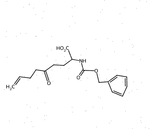 C=CCCC(=O)CCC(NC(=O)OCc1ccccc1)C(=O)O